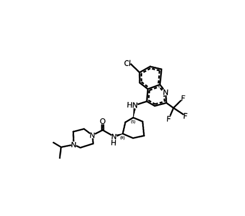 CC(C)N1CCN(C(=O)N[C@@H]2CCC[C@H](Nc3cc(C(F)(F)F)nc4ccc(Cl)cc34)C2)CC1